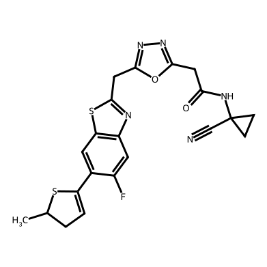 CC1CC=C(c2cc3sc(Cc4nnc(CC(=O)NC5(C#N)CC5)o4)nc3cc2F)S1